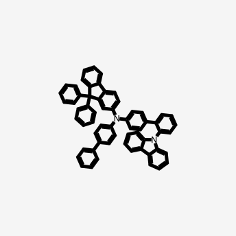 c1ccc(-c2ccc(N(c3ccc(-c4ccccc4-n4c5ccccc5c5ccccc54)cc3)c3ccc4c(c3)C(c3ccccc3)(c3ccccc3)c3ccccc3-4)cc2)cc1